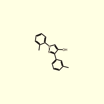 Cc1cccc(-c2nn(-c3ccccc3C)cc2O)c1